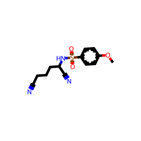 COc1ccc(S(=O)(=O)NC(C#N)CCCC#N)cc1